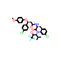 COc1ccc(O[C@@H](CC(=O)N[C@@H](Cc2ccc(Cl)cc2)C(=O)N[C@H](C(=O)C(F)(F)F)C(C)C)c2ccc(Cl)cc2)cc1